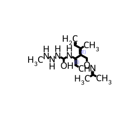 C=C/C(C)=C(CON=C(C)C)\C(=C/C)NC(O)NNNC